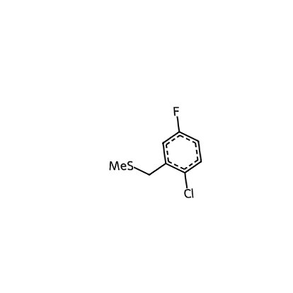 CSCc1cc(F)ccc1Cl